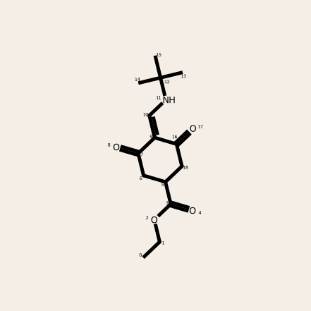 CCOC(=O)C1CC(=O)C(=CNC(C)(C)C)C(=O)C1